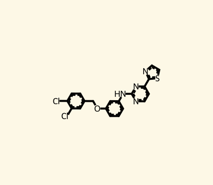 Clc1ccc(COc2cccc(Nc3nccc(-c4nccs4)n3)c2)cc1Cl